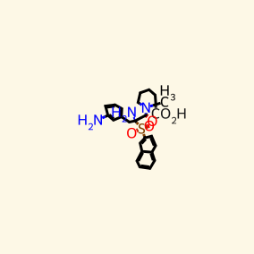 CC1(C(=O)O)CCCCN1C(=O)[C@@](N)(Cc1cccc(N)c1)S(=O)(=O)c1ccc2ccccc2c1